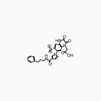 O=C(O)Cn1c(=O)c(=O)[nH]c2cc([N+](=O)[O-])c(-n3ccc(C(=O)NCCCc4ccccc4)c3)cc21